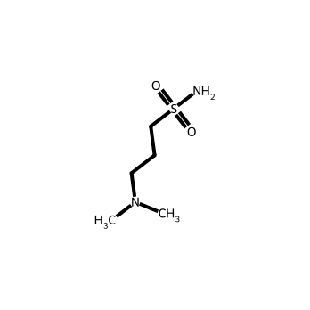 CN(C)CCCS(N)(=O)=O